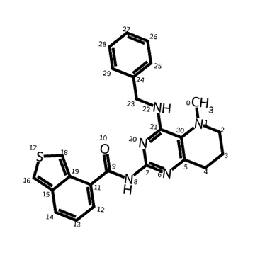 CN1CCCc2nc(NC(=O)c3cccc4cscc34)nc(NCc3ccccc3)c21